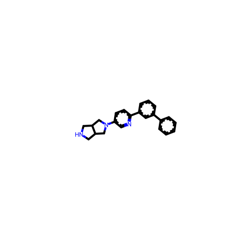 c1ccc(-c2cccc(-c3ccc(N4CC5CNCC5C4)cn3)c2)cc1